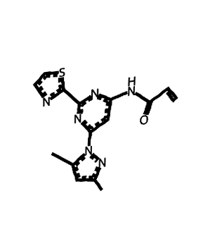 C=CC(=O)Nc1cc(-n2nc(C)cc2C)nc(-c2nccs2)n1